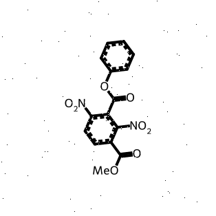 COC(=O)c1ccc([N+](=O)[O-])c(C(=O)Oc2ccccc2)c1[N+](=O)[O-]